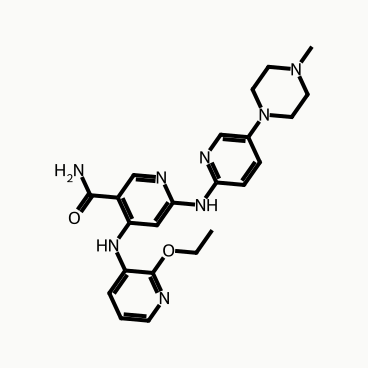 CCOc1ncccc1Nc1cc(Nc2ccc(N3CCN(C)CC3)cn2)ncc1C(N)=O